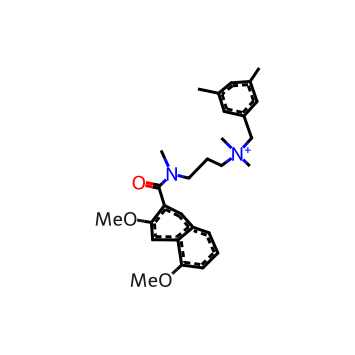 COc1cc2c(OC)cccc2cc1C(=O)N(C)CCC[N+](C)(C)Cc1cc(C)cc(C)c1